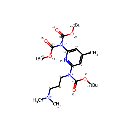 Cc1cc(N(CCCN(C)C)C(=O)OC(C)(C)C)nc(N(C(=O)OC(C)(C)C)C(=O)OC(C)(C)C)c1